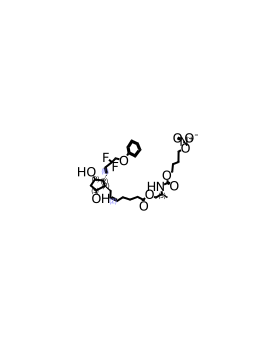 C[C@@H](COC(=O)CCC/C=C\C[C@@H]1[C@@H](/C=C/C(F)(F)COc2ccccc2)[C@H](O)C[C@@H]1O)NC(=O)OCCCCO[N+](=O)[O-]